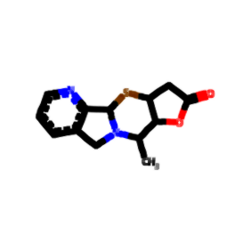 CC1C2OC(=O)CC2SC2c3ncccc3CN21